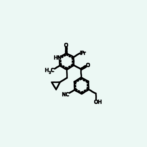 Cc1[nH]c(=O)c(C(C)C)c(C(=O)c2cc(C#N)cc(CO)c2)c1CC1CC1